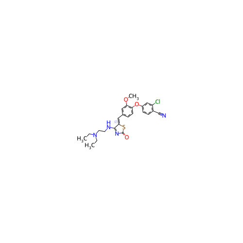 CCN(CC)CCNC1=NC(=O)S/C1=C\c1ccc(Oc2ccc(C#N)c(Cl)c2)c(OC)c1